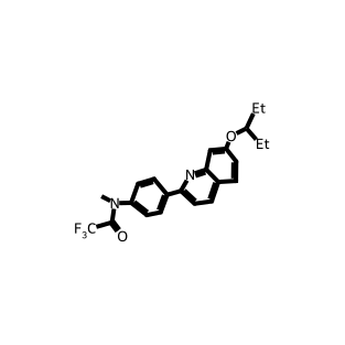 CCC(CC)Oc1ccc2ccc(-c3ccc(N(C)C(=O)C(F)(F)F)cc3)nc2c1